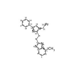 Cc1cccc2nc(CCc3nc(-c4ccccc4)cn3CC(C)C)nn12